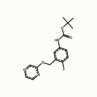 CC(C)(C)OC(=O)Nc1ccc(F)c(COc2cnccn2)c1